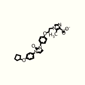 Cc1c([N+](=O)[O-])ncn1CCOc1ccc(-n2ccn(-c3ccc(OC4CCCC4)cc3)c2=O)cc1